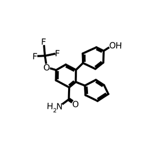 NC(=O)c1cc(OC(F)(F)F)cc(-c2ccc(O)cc2)c1-c1ccccc1